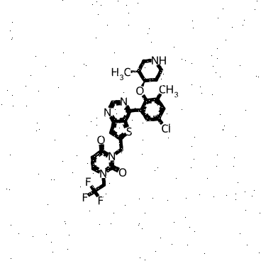 Cc1cc(Cl)cc(-c2ncnc3cc(Cn4c(=O)ccn(CC(F)(F)F)c4=O)sc23)c1O[C@@H]1CCNC[C@@H]1C